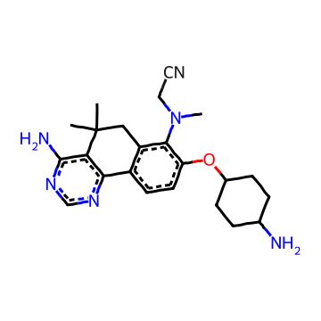 CN(CC#N)c1c(OC2CCC(N)CC2)ccc2c1CC(C)(C)c1c(N)ncnc1-2